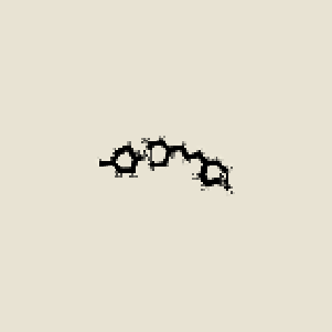 CC1CCC(N2CCC(CCCC3CCN(C)CC3)CC2)CC1